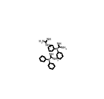 N=C(N)N.N=C(N)N(c1ccccc1)c1ccccc1.N=C(N)N(c1ccccc1)c1ccccc1